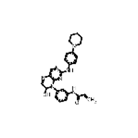 C=CC(=O)Nc1cccc(N2c3nc(Nc4ccc(N5CCCCC5)cc4)ncc3N=CC2O)c1